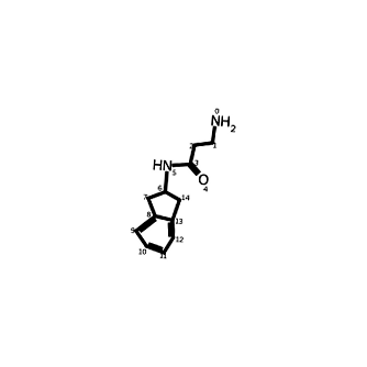 NCCC(=O)NC1Cc2ccccc2C1